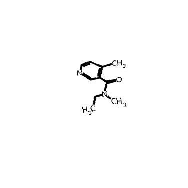 CCN(C)C(=O)c1cnccc1C